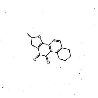 CC1CC2=C(O1)c1ccc3c(c1C(=O)C2=O)CCCC3